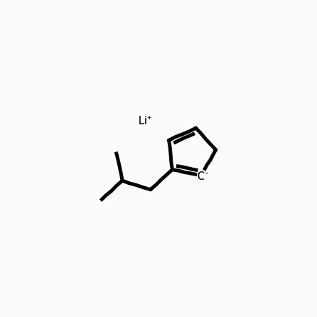 CC(C)CC1=[C-]CC=C1.[Li+]